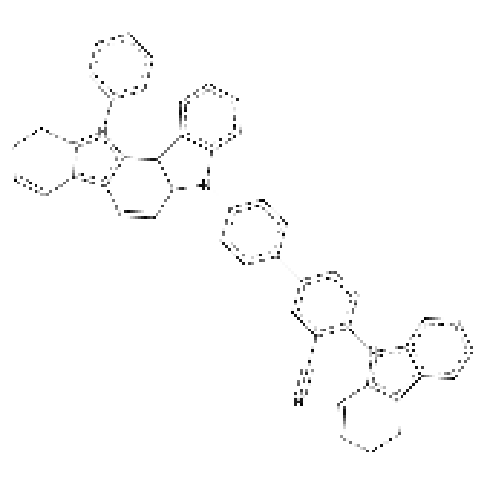 N#Cc1cc(-c2ccc(N3c4ccccc4C4c5c(c6c(n5-c5ccccc5)CCC=C6)C=CC43)cc2)ccc1-n1c2c(c3ccccc31)CCC=C2